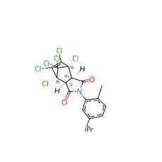 Cc1ccc(C(C)C)cc1N1C(=O)[C@@H]2[C@H](C1=O)[C@]1(Cl)C(Cl)=C(Cl)[C@@]2(Cl)C1(Cl)Cl